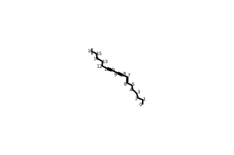 CCCCCC/C=C/C#CC#CCCCCI